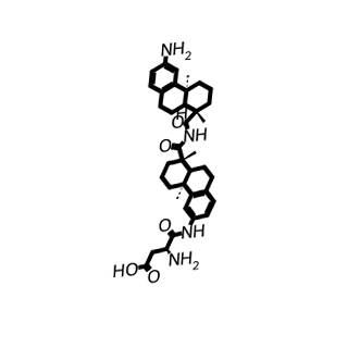 C[C@]1(C(=O)NC(=O)[C@@]2(C)CCC[C@]3(C)c4cc(N)ccc4CC[C@@H]23)CCC[C@]2(C)c3cc(NC(=O)[C@@H](N)CC(=O)O)ccc3CCC12